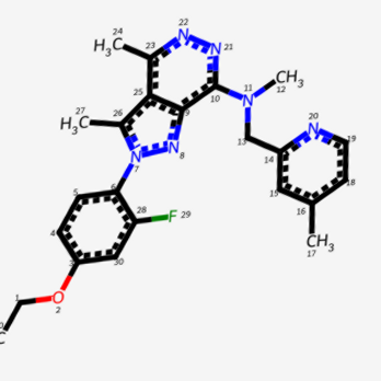 CCOc1ccc(-n2nc3c(N(C)Cc4cc(C)ccn4)nnc(C)c3c2C)c(F)c1